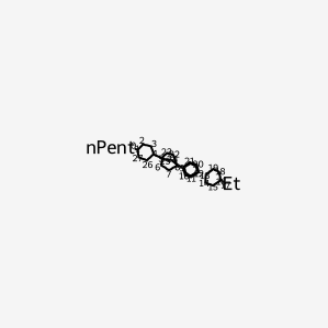 CCCCCC1CCC(C23CCC(c4ccc([C@H]5CC[C@H](CC)CC5)cc4)(CC2)CC3)CC1